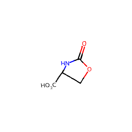 O=C1NC(C(=O)O)CO1